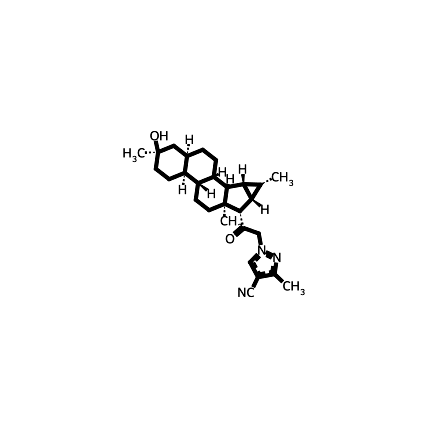 Cc1nn(CC(=O)[C@H]2[C@H]3[C@@H](C)[C@H]3[C@H]3[C@@H]4CC[C@@H]5C[C@](C)(O)CC[C@@H]5[C@H]4CC[C@@]32C)cc1C#N